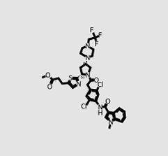 COC(=O)CCc1cnc([C@@H]2C[C@H](N3CCN(CC(F)(F)F)CC3)CN2C(=O)Cc2cc(Cl)c(NC(=O)c3cn(C)c4ccccc34)cc2Cl)s1